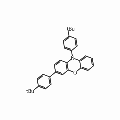 CC(C)(C)c1ccc(-c2ccc3c(c2)Oc2ccccc2N3c2ccc(C(C)(C)C)cc2)cc1